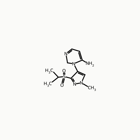 CC(C)S(=O)(=O)c1nn(C)cc1N1CN=CC=C1N